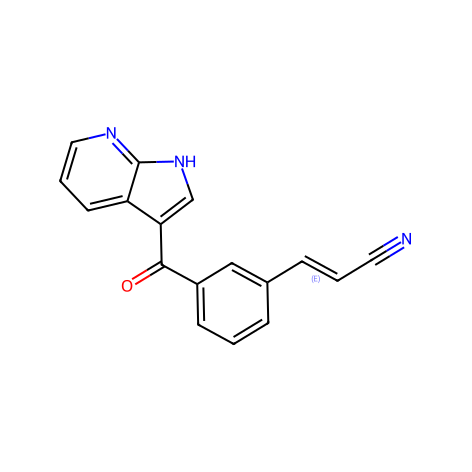 N#C/C=C/c1cccc(C(=O)c2c[nH]c3ncccc23)c1